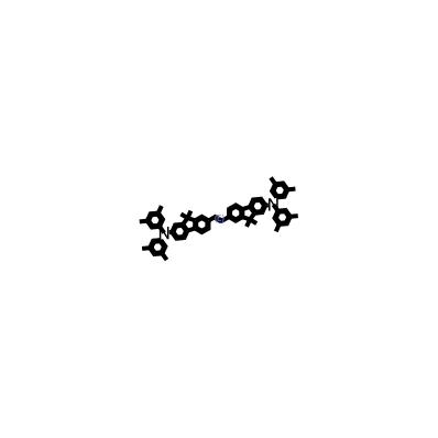 Cc1cc(C)cc(N(c2cc(C)cc(C)c2)c2ccc3c(c2)C(C)(C)c2cc(/C=C/c4ccc5c(c4)C(C)(C)c4cc(N(c6cc(C)cc(C)c6)c6cc(C)cc(C)c6)ccc4-5)ccc2-3)c1